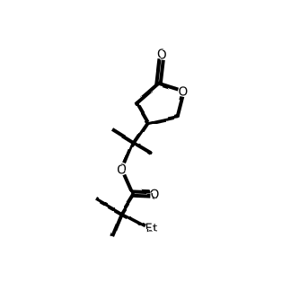 CCC(C)(C)C(=O)OC(C)(C)C1COC(=O)C1